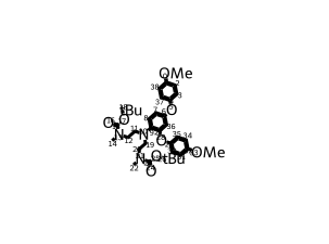 COc1ccc(Oc2ccc(N(CCN(C)C(=O)OC(C)(C)C)CCN(C)C(=O)OC(C)(C)C)c(Oc3ccc(OC)cc3)c2)cc1